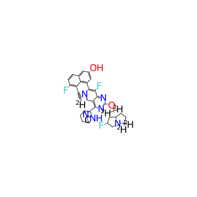 [2H]C#Cc1c(F)ccc2cc(O)cc(-c3ncc4c(N5CC6CCC5CN6)nc(OC([2H])([2H])[C@]56CCC([2H])([2H])N5C[C@@H](F)C6)nc4c3F)c12